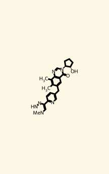 CN/C=C(\N=N)c1ccc(Cc2cc3c(=O)n([C@H]4CCC[C@@H]4O)cnc3c(C)c2C)cn1